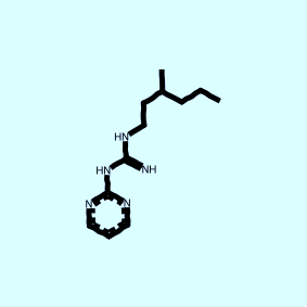 CCCC(C)CCNC(=N)Nc1ncccn1